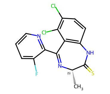 C[C@@H]1N=C(c2ncccc2F)c2c(ccc(Cl)c2Cl)NC1=S